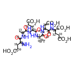 CC(C)[C@H](NC(=O)[C@H](CCC(=O)O)NC(=O)[C@H](C)NC(=O)[C@@H](N)CCC(=O)O)C(=O)N[C@@H](CC(=O)O)C(=O)N[C@@H](CCC(=O)O)C(=O)O